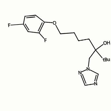 CC(C)(C)C(O)(CCCCOc1ccc(F)cc1F)Cn1cncn1